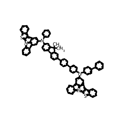 CC1(C)c2cc(-c3ccc(-c4ccc(N(c5ccc(-c6ccccc6)cc5)c5cc6c7ccccc7n7c8sc9ccccc9c8c(c5)c67)cc4)cc3)ccc2-c2ccc(N(c3ccccc3)c3cc4c5ccccc5n5c6sc7ccccc7c6c(c3)c45)cc21